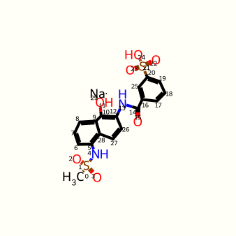 CS(=O)(=O)Nc1cccc2c(O)c(NC(=O)c3cccc(S(=O)(=O)O)c3)ccc12.[Na]